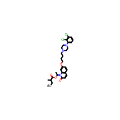 CC(CC(C)(C)C)C(=O)OC(C)n1c(=O)ccc2ccc(OCCCCN3CCN(c4cccc(Cl)c4Cl)CC3)cc21